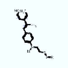 C/C=C(\C=C/NC)C(/C)=C/c1ccc(N(CC)CCSSCC)cc1